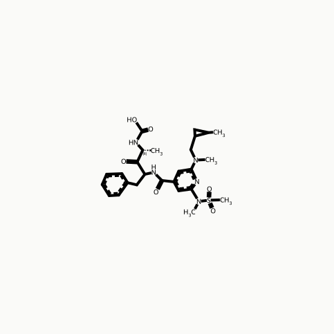 CC1CC1CN(C)c1cc(C(=O)NC(Cc2ccccc2)C(=O)[C@@H](C)NC(=O)O)cc(N(C)S(C)(=O)=O)n1